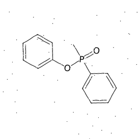 CP(=O)(Oc1ccccc1)c1ccccc1